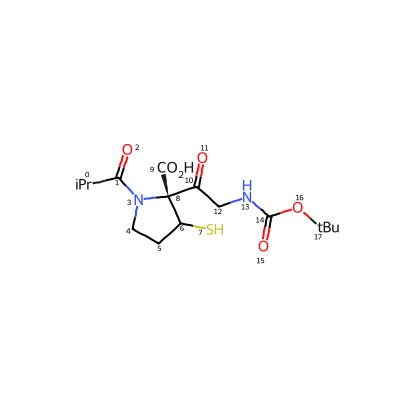 CC(C)C(=O)N1CCC(S)[C@@]1(C(=O)O)C(=O)CNC(=O)OC(C)(C)C